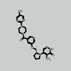 Cc1c(N2CCC[C@H]2COc2cncc(C(=O)N3CCN(c4ncc(C#N)cn4)CC3)c2)cn[nH]c1=O